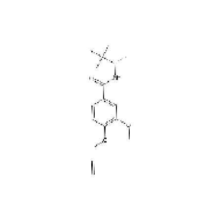 C#CCOc1ccc(C(=O)N[C@@H](C)C(C)(C)C)cc1OC